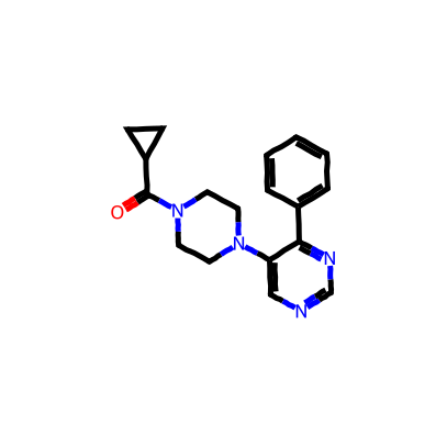 O=C(C1CC1)N1CCN(c2cncnc2-c2ccccc2)CC1